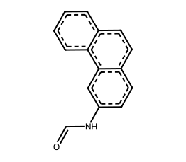 O=CNc1ccc2ccc3ccccc3c2c1